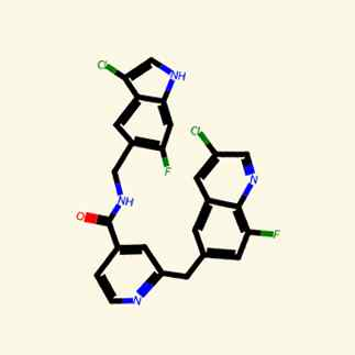 O=C(NCc1cc2c(Cl)c[nH]c2cc1F)c1ccnc(Cc2cc(F)c3ncc(Cl)cc3c2)c1